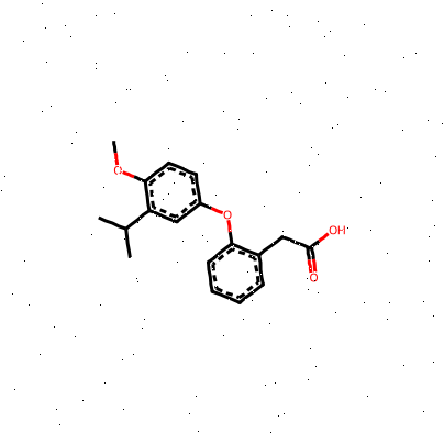 COc1ccc(Oc2ccccc2CC(=O)O)cc1C(C)C